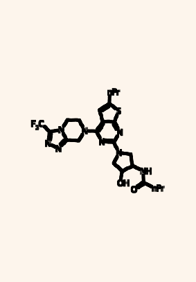 CCCC(=O)NC1CN(c2nc(N3CCn4c(nnc4C(F)(F)F)C3)c3cc(CCC)sc3n2)CC1O